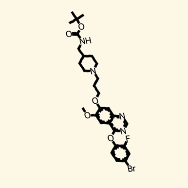 COc1cc2c(Oc3ccc(Br)cc3F)ncnc2cc1OCCCN1CCC(CNC(=O)OC(C)(C)C)CC1